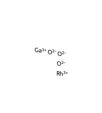 [Ga+3].[O-2].[O-2].[O-2].[Rh+3]